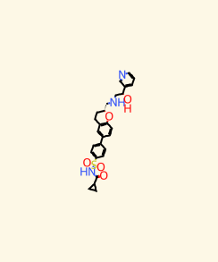 O=C(NS(=O)(=O)c1ccc(-c2ccc3c(c2)CC[C@H](CNC[C@H](O)c2cccnc2)O3)cc1)C1CC1